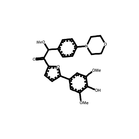 COc1cc(-c2ccc(C(=O)C(OC)c3ccc(N4CCOCC4)cc3)o2)cc(OC)c1O